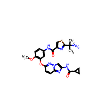 COc1ccc(NC(=O)c2csc(C(C)(C)N)n2)cc1Oc1ccc2nc(NC(=O)C3CC3)cn2n1